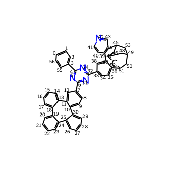 c1ccc(-c2nc(-c3ccc4c(c3)-c3ccccc3-c3ccccc3-c3ccccc3-4)nc(-c3ccc4c(c3)-c3ccncc3C3CC5CC(CC4C5)C3)n2)cc1